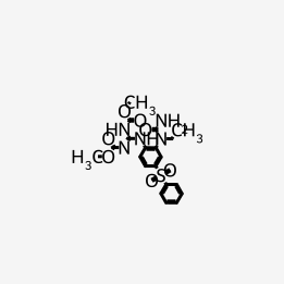 CCN(C(N)=O)c1cc(S(=O)(=O)c2ccccc2)ccc1NC(=NC(=O)OC)NC(=O)OC